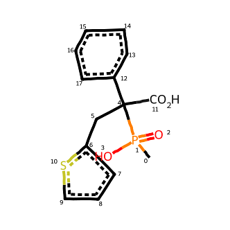 CP(=O)(O)C(Cc1cccs1)(C(=O)O)c1ccccc1